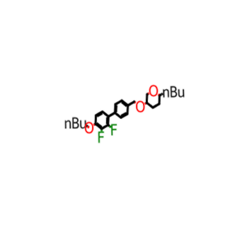 CCCCOc1ccc(-c2ccc(COC3CCC(CCCC)OC3)cc2)c(F)c1F